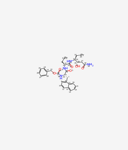 CC(C)C[C@H](NC(=O)[C@H](Cc1cccc2ccccc12)NC(=O)OCc1ccccc1)C(=O)N[C@@H](CC(C)C)[C@@H](O)CC(N)=O